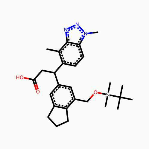 Cc1c(C(CC(=O)O)c2cc3c(c(CO[Si](C)(C)C(C)(C)C)c2)CCC3)ccc2c1nnn2C